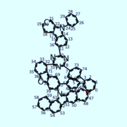 c1ccc(-c2ccc(-c3nc(-c4ccc5c(c4)c4ccccc4n5-c4ccccc4)nc(-c4cccc5oc6cc(-n7c8cc9ccccc9cc8c8ccc9ccccc9c87)c(-c7ccccc7)cc6c45)n3)cc2)cc1